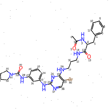 CC(=O)NC(Cc1ccccc1)C(=O)NCCCNc1nc(Nc2cccc(NC(=O)N3CCCC3)c2)ncc1Br